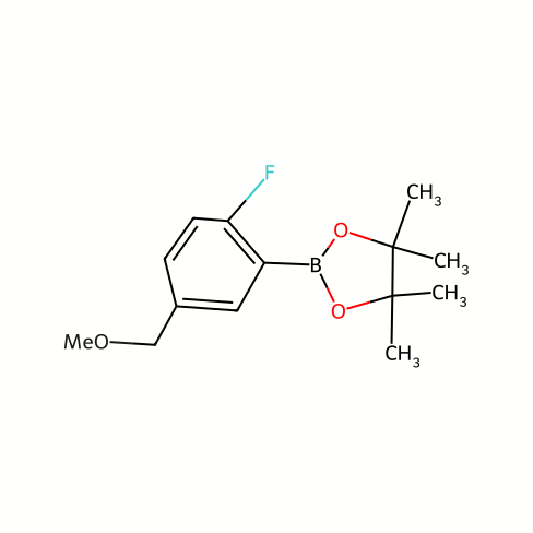 COCc1ccc(F)c(B2OC(C)(C)C(C)(C)O2)c1